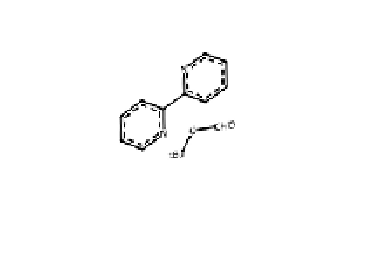 CC(C)(C)OC=O.c1ccc(-c2ccccn2)nc1